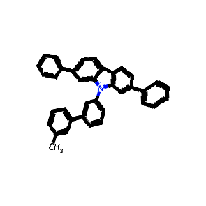 Cc1cccc(-c2cccc(-n3c4cc(-c5ccccc5)ccc4c4ccc(-c5ccccc5)cc43)c2)c1